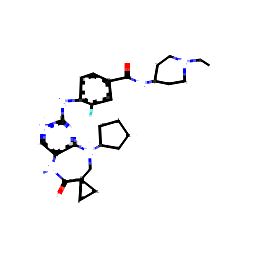 CCN1CCC(NC(=O)c2ccc(Nc3ncc4c(n3)N(C3CCCC3)CC3(CC3)C(=O)N4C)c(F)c2)CC1